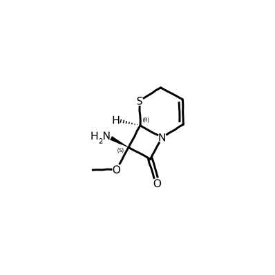 CO[C@@]1(N)C(=O)N2C=CCS[C@@H]21